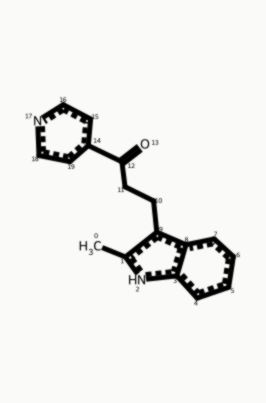 Cc1[nH]c2ccccc2c1CCC(=O)c1ccncc1